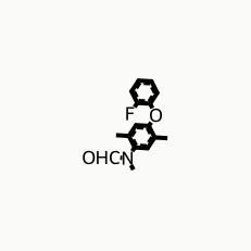 Cc1cc(N(C)C=O)c(C)cc1Oc1ccccc1F